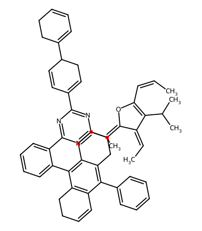 C/C=C\c1oc(=C(/C)c2nc(C3=CCC(C4=CC=CCC4)C=C3)nc(-c3ccccc3-c3c4c(c(-c5ccccc5)c5c3CCC=C5)CCC=C4)n2)/c(=C\C)c1C(C)C